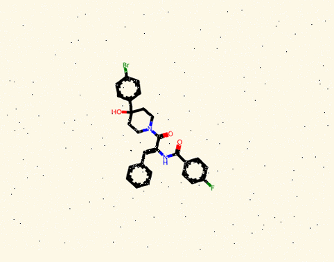 O=C(NC(=Cc1ccccc1)C(=O)N1CCC(O)(c2ccc(Br)cc2)CC1)c1ccc(F)cc1